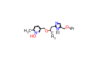 CCn1c(COC(C)C)cnc1CC(C)OCc1ccc(C)[n+](O)c1